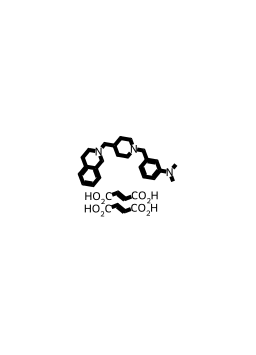 CN(C)c1cccc(CN2CCC(CN3CCc4ccccc4C3)CC2)c1.O=C(O)C=CC(=O)O.O=C(O)C=CC(=O)O